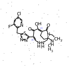 CCN1CNN/C=C(/c2nnc(Cc3ncc(Cl)cc3F)s2)C(=O)/C(O)=C(\CCCNC)C1=O